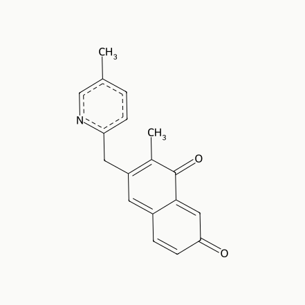 CC1=C(Cc2ccc(C)cn2)C=C2C=CC(=O)C=C2C1=O